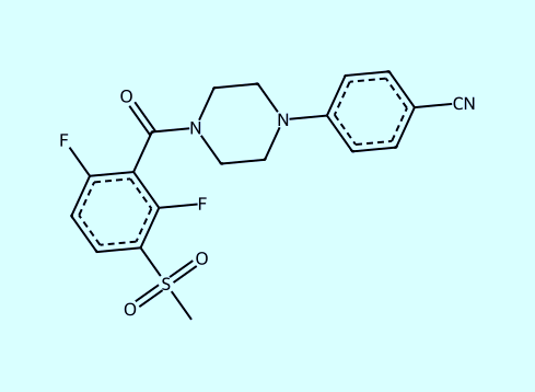 CS(=O)(=O)c1ccc(F)c(C(=O)N2CCN(c3ccc(C#N)cc3)CC2)c1F